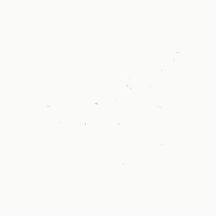 CC(C)(O)c1nc(-c2ccc3c(c2)OCO3)c2ccccc2n1